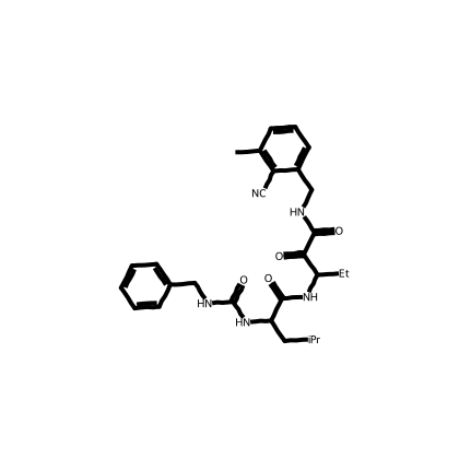 CCC(NC(=O)C(CC(C)C)NC(=O)NCc1ccccc1)C(=O)C(=O)NCc1cccc(C)c1C#N